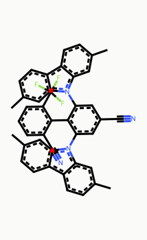 Cc1ccc2c3ccc(C)cc3n(-c3cc(C#N)cc(-n4c5cc(C)ccc5c5ccc(C)cc54)c3-c3c(C#N)cccc3C(F)(F)F)c2c1